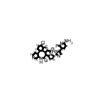 Nc1ccc(-c2cnc([C@@H]3CCc4c5c(cc(=O)n43)-c3c(ccc(Cl)c3F)-c3ccncc3NC5=O)[nH]2)c(F)n1